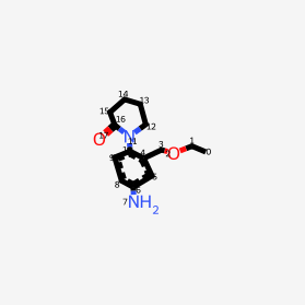 CCOCc1cc(N)ccc1N1CCCCC1=O